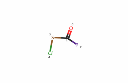 O=C(I)SCl